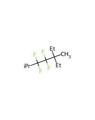 CCC(C)(CC)C(F)(F)C(F)(F)C(C)C